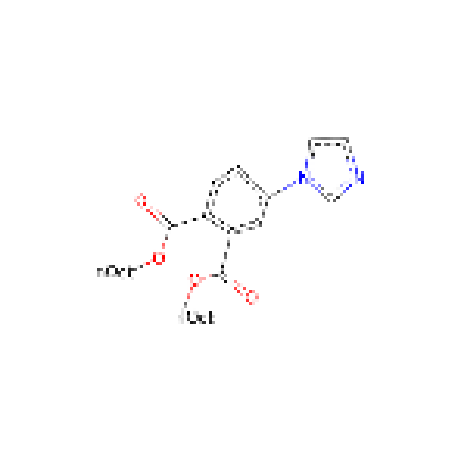 CCCCCCCCOC(=O)c1ccc(-n2ccnc2)cc1C(=O)OCCCCCCCC